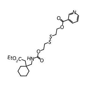 CCOC(=O)CC1(CNC(=O)OCCSSCCOC(=O)c2cccnc2)CCCCC1